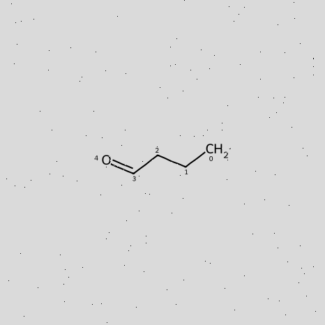 [CH2]CCC=O